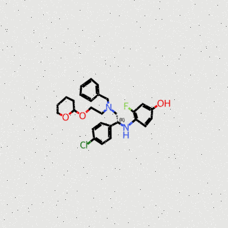 Oc1ccc(N[C@@H](CN(CCOC2CCCCO2)Cc2ccccc2)c2ccc(Cl)cc2)c(F)c1